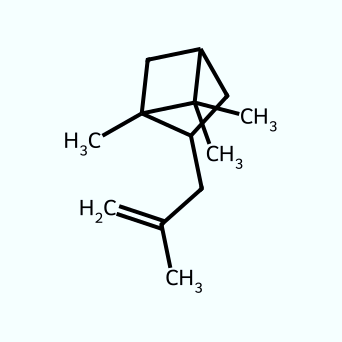 C=C(C)CC1CC2CC1(C)C2(C)C